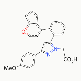 COc1ccc(-c2cc(-c3ccccc3-c3ccoc4cccc3-4)n(CC(=O)O)n2)cc1